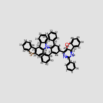 c1ccc(-c2nc(-c3cc(-c4ccccc4)c(-n4c5ccccc5c5c6c(ccc54)sc4ccccc46)c(-c4ccccc4)c3)c3oc4ccccc4c3n2)cc1